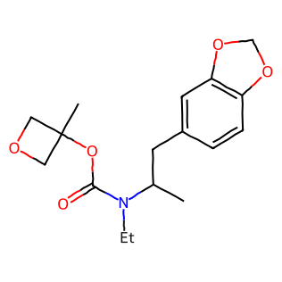 CCN(C(=O)OC1(C)COC1)C(C)Cc1ccc2c(c1)OCO2